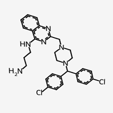 NCCCNc1nc(CN2CCN(C(c3ccc(Cl)cc3)c3ccc(Cl)cc3)CC2)nc2ccccc12